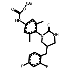 Cc1cc(NC(=O)OC(C)(C)C)cc(C)c1N1CC(Cc2ccc(F)cc2F)CNC1=O